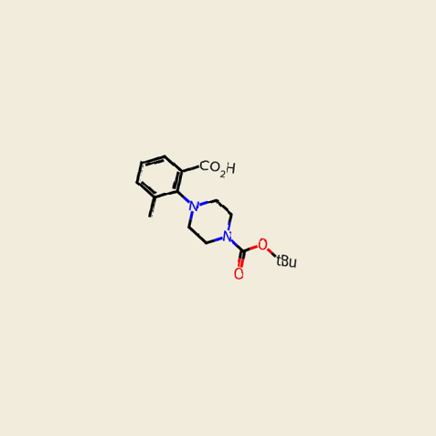 Cc1cccc(C(=O)O)c1N1CCN(C(=O)OC(C)(C)C)CC1